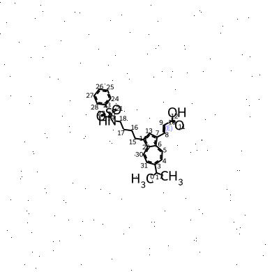 CC(C)c1ccc2c(/C=C/C(=O)O)cc(CCCCNS(=O)(=O)c3ccccc3)c-2cc1